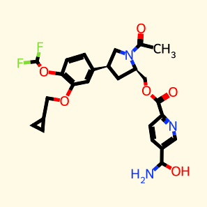 CC(=O)N1C[C@H](c2ccc(OC(F)F)c(OCC3CC3)c2)C[C@@H]1COC(=O)c1ccc(C(N)O)cn1